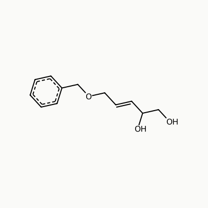 OCC(O)C=CCOCc1ccccc1